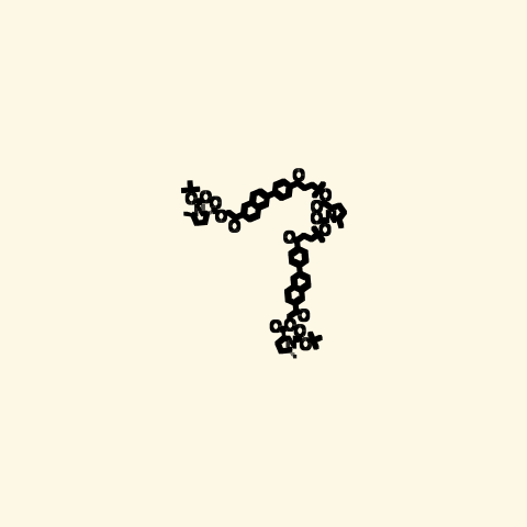 CC1CCC(C(=O)OC(C)(C)CCC(=O)c2ccc(-c3ccc4cc(C(=O)COC(=O)[C@@H]5CC[C@@H](C)N5C(=O)OC(C)(C)C)ccc4c3)cc2)N1C(=O)OC(C)(C)CCC(=O)c1ccc(-c2ccc3cc(C(=O)COC(=O)[C@@H]4CC[C@@H](C)N4C(=O)OC(C)(C)C)ccc3c2)cc1